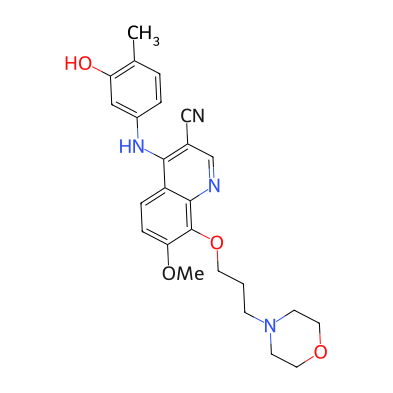 COc1ccc2c(Nc3ccc(C)c(O)c3)c(C#N)cnc2c1OCCCN1CCOCC1